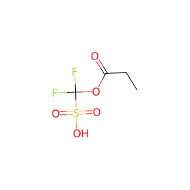 CCC(=O)OC(F)(F)S(=O)(=O)O